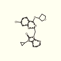 O=c1n(Cc2nc(OC3CCOC3)c3ccc(Cl)cc3n2)c2ncccc2n1C1CC1